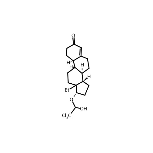 CCC12CC[C@H]3[C@@H](CCC4=CC(=O)CC[C@@H]43)[C@@H]1CC[C@@H]2OC(O)C(Cl)(Cl)Cl